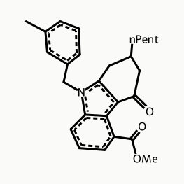 CCCCCC1CC(=O)c2c(n(Cc3cccc(C)c3)c3cccc(C(=O)OC)c23)C1